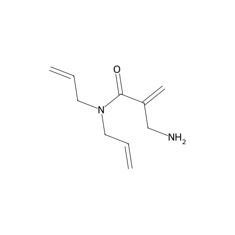 C=CCN(CC=C)C(=O)C(=C)CN